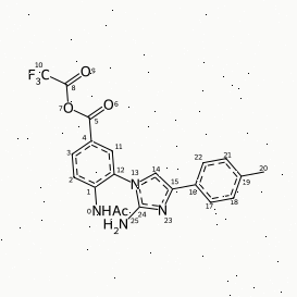 CC(=O)Nc1ccc(C(=O)OC(=O)C(F)(F)F)cc1-n1cc(-c2ccc(C)cc2)nc1N